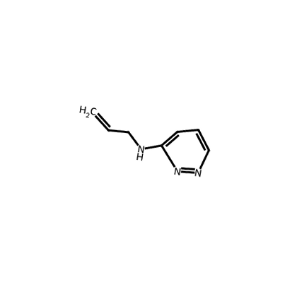 C=CCNc1cccnn1